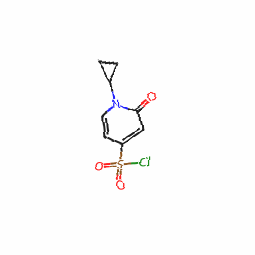 O=c1cc(S(=O)(=O)Cl)ccn1C1CC1